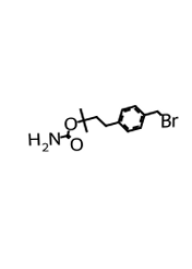 CC(C)(CCc1ccc(CBr)cc1)OC(N)=O